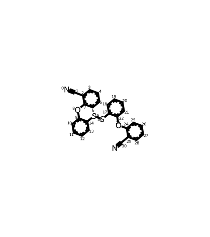 N#Cc1ccccc1Oc1ccccc1SSc1ccccc1Oc1ccccc1C#N